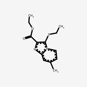 CCOC(=O)c1nc2cc(C)ccn2c1SCC